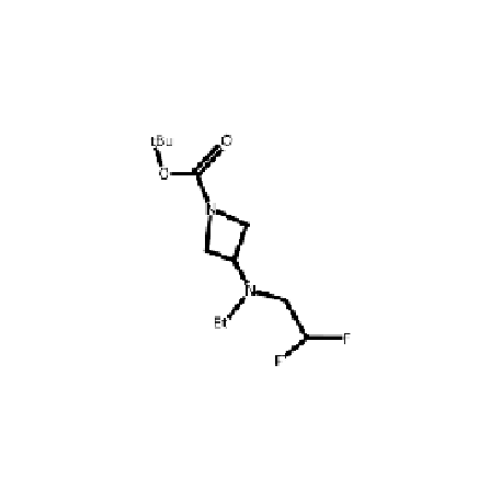 CCN(CC(F)F)C1CN(C(=O)OC(C)(C)C)C1